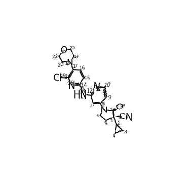 N#C[C@@]1(C2CC2)CCN(c2ccnc(Nc3ccc(N4CCOCC4)c(Cl)n3)c2)C1=O